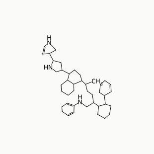 CC(CCC(CNC1=CCCC=C1)C1CCCCC1C1C=CCCC1)C1CCC(C2CNC(C3C=CNC3)C2)C2CCCCC12